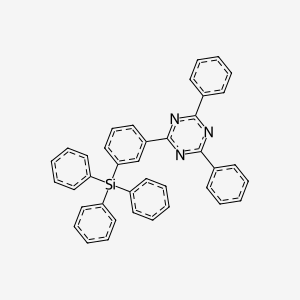 c1ccc(-c2nc(-c3ccccc3)nc(-c3cccc([Si](c4ccccc4)(c4ccccc4)c4ccccc4)c3)n2)cc1